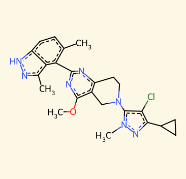 COc1nc(-c2c(C)ccc3[nH]nc(C)c23)nc2c1CN(c1c(Cl)c(C3CC3)nn1C)CC2